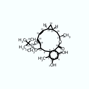 Cc1c(O)cc(O)c2c1CC(O[Si](C)(C)C(C)(C)C)/C=C/C=C\[C@H]1C[C@@H]1C[C@@H](C)OC2=O